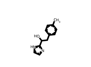 Cc1ccc(CC(O)c2ncc[nH]2)cc1